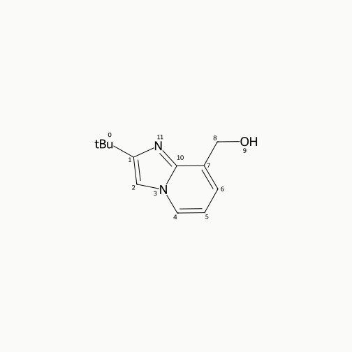 CC(C)(C)c1cn2cccc(CO)c2n1